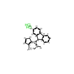 CCC1=[C]([Zr]([CH]2c3ccccc3-c3ccccc32)=[Si](C)C)CC=C1.Cl.Cl